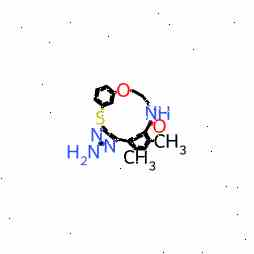 Cc1cc(C)c2cc1C(=O)NCCCOc1cccc(c1)Sc1cc-2nc(N)n1